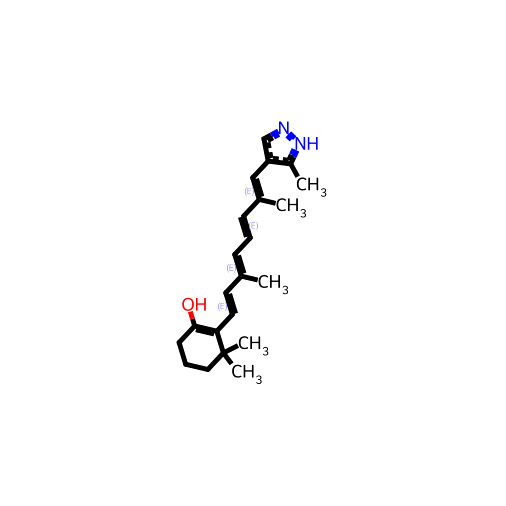 CC(/C=C/C1=C(O)CCCC1(C)C)=C\C=C\C(C)=C\c1cn[nH]c1C